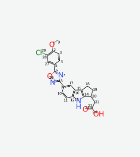 COc1ccc(-c2nc(-c3ccc4[nH]c5c(c4c3)CCC5CC(=O)O)no2)cc1Cl